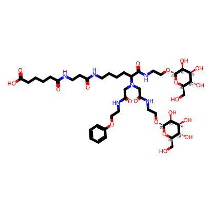 O=C(O)CCCCC(=O)NCCC(=O)NCCCCC(C(=O)NCCO[C@H]1O[C@H](CO)[C@@H](O)[C@H](O)[C@@H]1O)N(CC(=O)NCCOc1ccccc1)CC(=O)NCCO[C@H]1O[C@H](CO)[C@@H](O)[C@H](O)[C@@H]1O